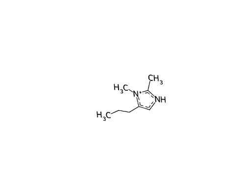 CCCc1c[nH]c(C)[n+]1C